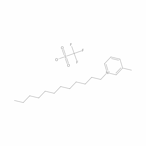 CCCCCCCCCCCC[n+]1cccc(C)c1.O=S(=O)([O-])C(F)(F)F